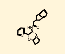 O=C(CC1Cc2ccccc2C1)N[C@H](CN1CCCC1)[C@H](O)c1ccccn1